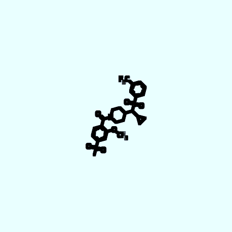 CS(=O)(=O)c1ccc(C(=O)N2CCC(C(C3CC3)S(=O)(=O)c3cccc(C(F)(F)F)c3)CC2)c(OC(F)(F)F)c1